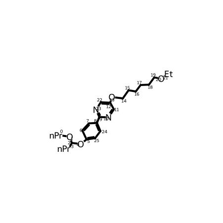 CCCOC(CCC)Oc1ccc(-c2ncc(OCCCCCCOCC)cn2)cc1